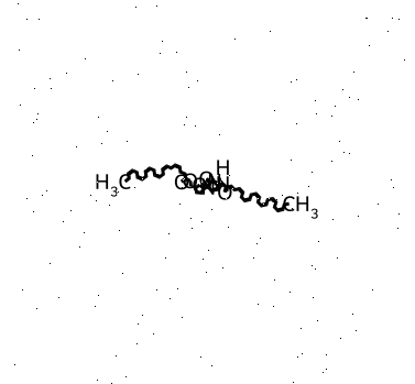 CC/C=C\C/C=C\C/C=C\C/C=C\C/C=C\C/C=C\CCC(=O)Nc1ccn(C2CC[C@@H](COC(=O)CC/C=C\C/C=C\C/C=C\C/C=C\C/C=C\C/C=C\CC)O2)c(=O)n1